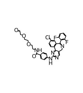 O=CCOCCOCCNC(=O)c1ccc(Nc2ncc3c(n2)-c2ccc(Cl)cc2C(c2c(F)cccc2F)=NC3)cc1